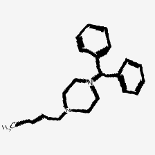 C[CH]CCN1CCN(C(c2ccccc2)c2ccccc2)CC1